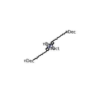 CCCCCCCCCCCCCCCCCCCCCCCCc1ccc(/N=C(CCCC)/C(CCCCCCCC)=N/c2ccc(CCCCCCCCCCCCCCCCCCCCCCCC)cc2)cc1.[Ni]